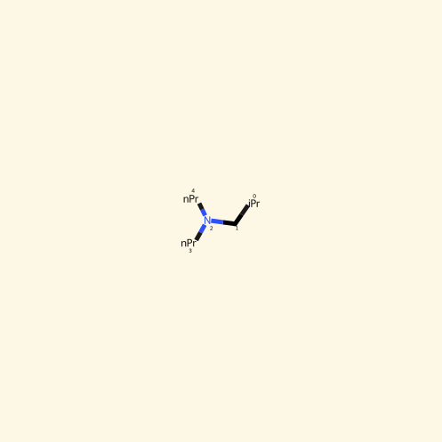 [CH2]C(C)CN(CCC)CCC